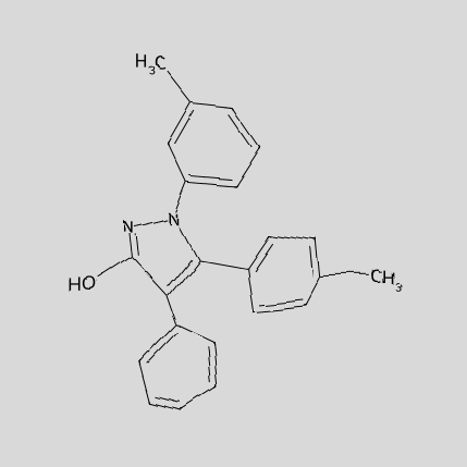 Cc1ccc(-c2c(-c3ccccc3)c(O)nn2-c2cccc(C)c2)cc1